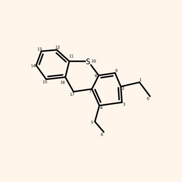 CCc1cc(CC)c2c(c1)Sc1ccccc1C2